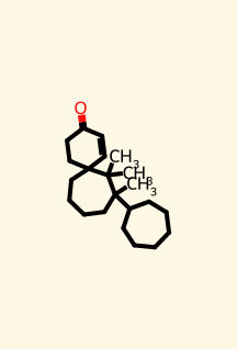 CC1(C2CCCCCC2)CCCCC2(C=CC(=O)CC2)C1(C)C